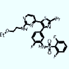 CCOCCNc1nccc(-c2sc(C(C)C)nc2-c2ccc(F)c(NS(=O)(=O)c3c(F)cccc3F)c2)n1